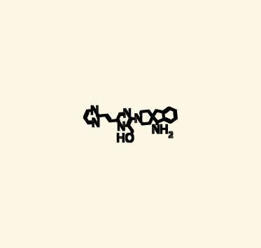 NC1c2ccccc2CC12CCN(c1ncc(C=Cc3ncccn3)nc1CO)CC2